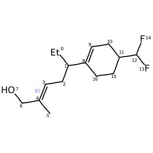 CCC(C/C=C(\C)CO)C1=CCC(C(F)F)CC1